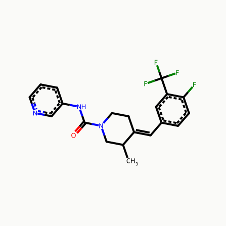 CC1CN(C(=O)Nc2cccnc2)CCC1=Cc1ccc(F)c(C(F)(F)F)c1